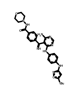 CC(C)(C)c1cc(Nc2ccc(Nc3ncnc(N)c3C(=N)c3ccc(C(=O)NN4CCOCC4)cc3)cc2)no1